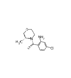 C[C@@H]1COCCN1C(=O)c1ccc(Cl)cc1N